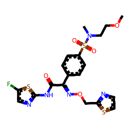 COCCN(C)S(=O)(=O)c1ccc(/C(=N\OCc2nccs2)C(=O)Nc2ncc(F)s2)cc1